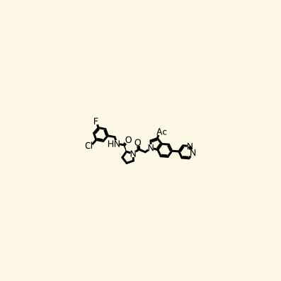 CC(=O)c1cn(CC(=O)N2CCC[C@H]2C(=O)NCc2cc(F)cc(Cl)c2)c2ccc(-c3ccnnc3)cc12